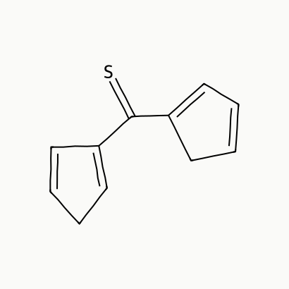 S=C(C1=CCC=C1)C1=CC=CC1